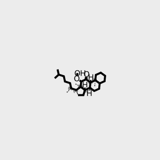 CC(C)CCC[C@@H](C)[C@H]1CC[C@H]2[C@@H]3CCC4CCCC[C@]4(C)[C@H]3C(=O)C(OO)[C@]12C